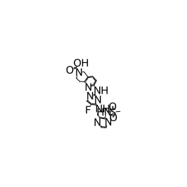 CS(=O)(=O)Nc1nccnc1CNc1nc(Nc2ccc3c(n2)CCN(C(=O)O)C3)ncc1F